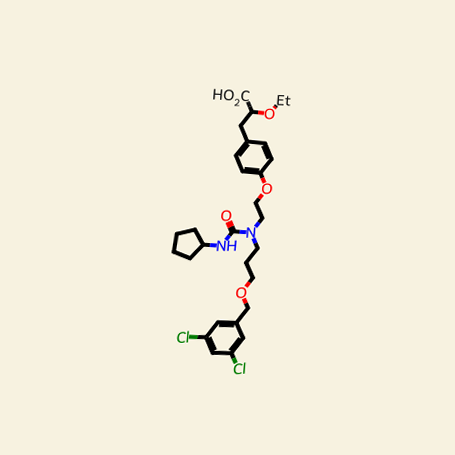 CCOC(Cc1ccc(OCCN(CCCOCc2cc(Cl)cc(Cl)c2)C(=O)NC2CCCC2)cc1)C(=O)O